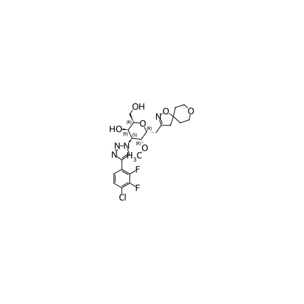 CO[C@@H]1[C@@H](n2cc(-c3ccc(Cl)c(F)c3F)nn2)[C@@H](O)[C@@H](CO)O[C@@H]1CC1=NOC2(CCOCC2)C1